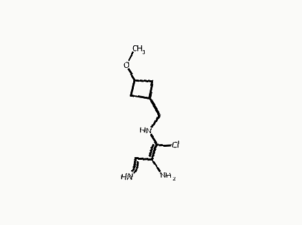 COC1CC(CN/C(Cl)=C(/N)C=N)C1